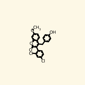 COc1ccc2c(Cc3ccc(O)cc3)c(-c3ccc(Cl)cc3Cl)c(=O)oc2c1